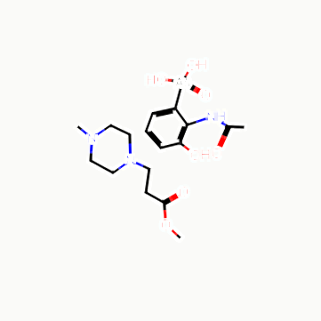 CC(=O)Nc1c(O)cccc1[As](=O)(O)O.COC(=O)CCN1CCN(C)CC1